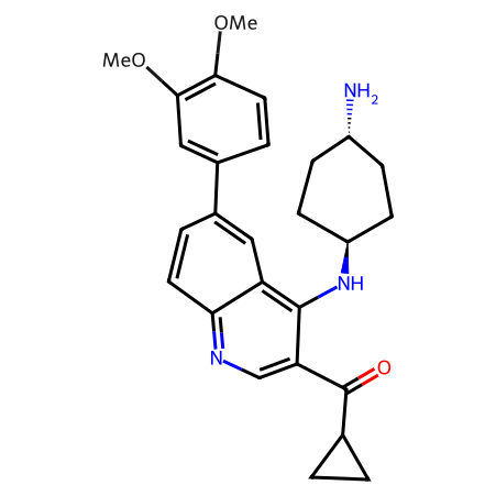 COc1ccc(-c2ccc3ncc(C(=O)C4CC4)c(N[C@H]4CC[C@H](N)CC4)c3c2)cc1OC